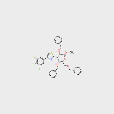 CO[C@H]1OC(COCc2ccccc2)[C@H](OCc2ccccc2)C(c2nc(-c3cc(F)c(F)c(F)c3)cs2)C1OCc1ccccc1